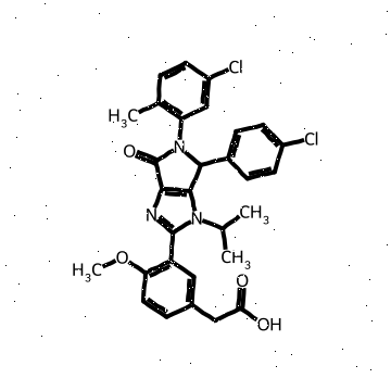 COc1ccc(CC(=O)O)cc1-c1nc2c(n1C(C)C)C(c1ccc(Cl)cc1)N(c1cc(Cl)ccc1C)C2=O